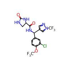 O=C1NCC(C(=O)NC(c2ccc(OC(F)(F)F)c(Cl)c2)c2cnn(C(F)(F)F)c2)N1